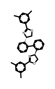 Cc1cc(C)cc(C2=N[C@@H](c3ccccc3-c3ccccc3[C@H]3COC(c4cc(C)cc(C)c4)=N3)CO2)c1